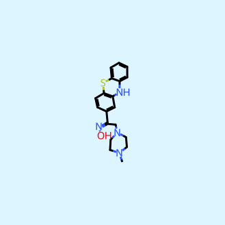 CN1CCN(C/C(=N\O)c2ccc3c(c2)Nc2ccccc2S3)CC1